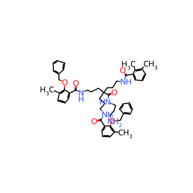 Cc1cccc(C(=O)NCCCC(CCCNC(=O)c2cccc(C)c2OCc2ccccc2)(CCCNC(=O)c2cccc(C)c2OCc2ccccc2)C(=O)NCCCN)c1C